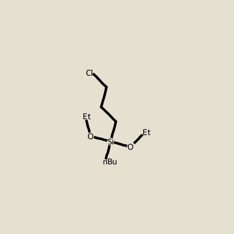 CCCC[Si](CCCCl)(OCC)OCC